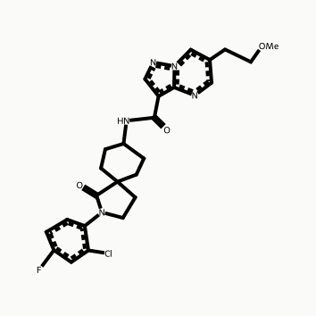 COCCc1cnc2c(C(=O)NC3CCC4(CC3)CCN(c3ccc(F)cc3Cl)C4=O)cnn2c1